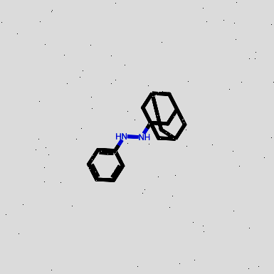 c1ccc(NNC23CC4CC(CC(C4)C2)C3)cc1